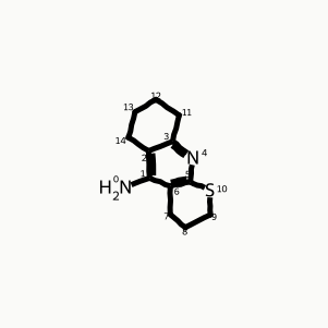 Nc1c2c(nc3c1CCCS3)CCCC2